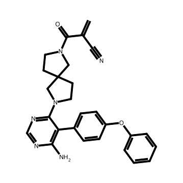 C=C(C#N)C(=O)N1CCC2(CCN(c3ncnc(N)c3-c3ccc(Oc4ccccc4)cc3)C2)C1